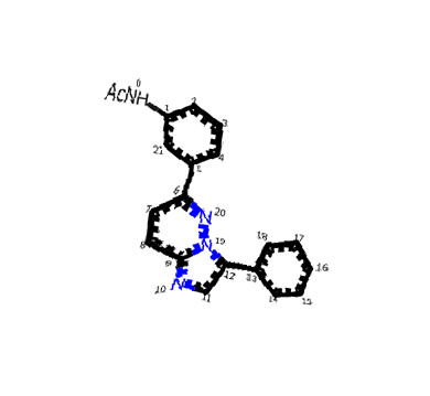 CC(=O)Nc1cccc(-c2ccc3ncc(-c4ccccc4)n3n2)c1